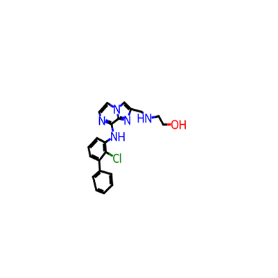 OCCNCc1cn2ccnc(Nc3cccc(-c4ccccc4)c3Cl)c2n1